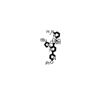 CC(C)Oc1ccc(-c2ccc(C(=O)NS(=O)(=O)c3cccc(N)n3)c(N3CCC(C(C)(C)C)C3)n2)cn1